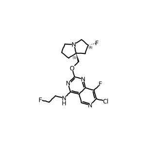 FCCNc1nc(OC[C@@]23CCCN2C[C@H](F)C3)nc2c(F)c(Cl)ncc12